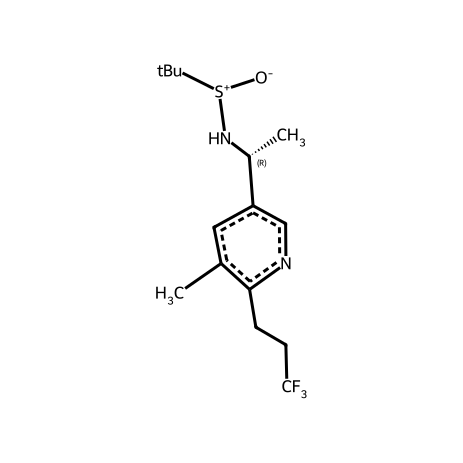 Cc1cc([C@@H](C)N[S+]([O-])C(C)(C)C)cnc1CCC(F)(F)F